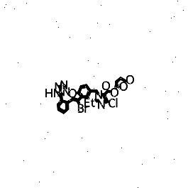 CCc1nc(Cl)c(C(=O)O[C@@H]2CCC(=O)O2)n1Cc1ccc2oc(-c3ccccc3-c3nnn[nH]3)c(Br)c2c1